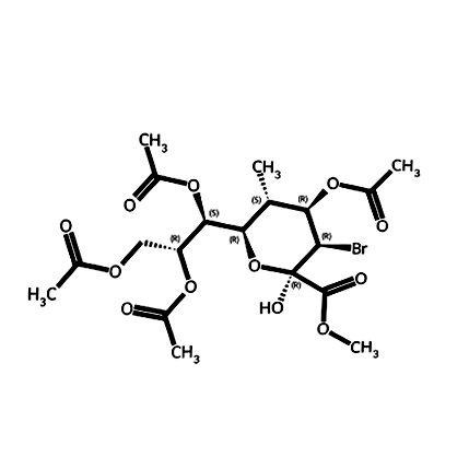 COC(=O)[C@@]1(O)O[C@@H]([C@H](OC(C)=O)[C@@H](COC(C)=O)OC(C)=O)[C@H](C)[C@@H](OC(C)=O)[C@H]1Br